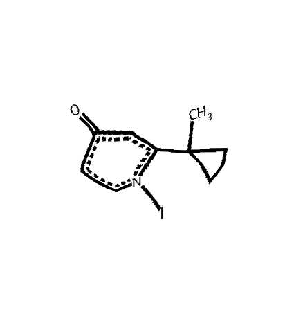 CC1(c2cc(=O)ccn2I)CC1